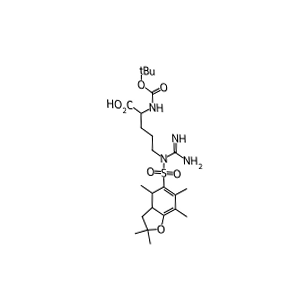 CC1=C2OC(C)(C)CC2C(C)C(S(=O)(=O)N(CCCC(NC(=O)OC(C)(C)C)C(=O)O)C(=N)N)=C1C